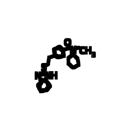 CCN(C(=O)c1ccc(CCSc2nc3ccccc3[nH]2)cc1)C1CCCCC1